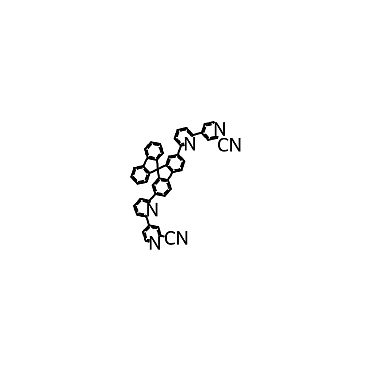 N#Cc1cc(-c2cccc(-c3ccc4c(c3)C3(c5ccccc5-c5ccccc53)c3cc(-c5cccc(-c6ccnc(C#N)c6)n5)ccc3-4)n2)ccn1